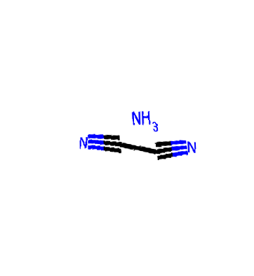 N.N#CC#N